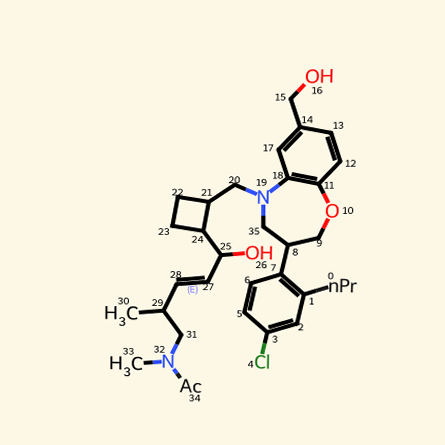 CCCc1cc(Cl)ccc1C1COc2ccc(CO)cc2N(CC2CCC2C(O)/C=C/C(C)CN(C)C(C)=O)C1